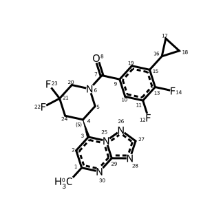 Cc1cc([C@@H]2CN(C(=O)c3cc(F)c(F)c(C4CC4)c3)CC(F)(F)C2)n2ncnc2n1